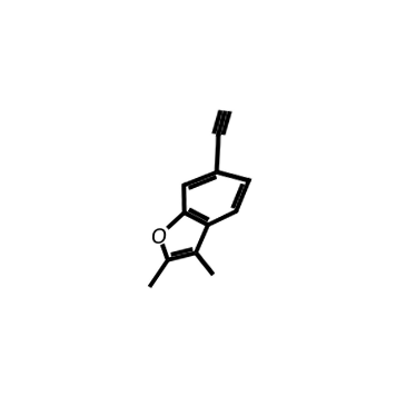 C#Cc1ccc2c(C)c(C)oc2c1